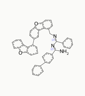 N/C(=N\C(=N/Cc1cccc2oc3ccc(-c4cccc5oc6ccccc6c45)cc3c12)c1ccccc1)c1ccc(-c2ccccc2)cc1